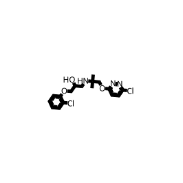 CC(C)(COc1ccc(Cl)nn1)NCC(O)COc1ccccc1Cl